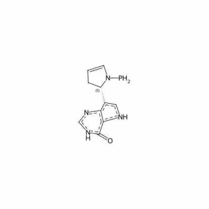 O=c1[nH]cnc2c([C@@H]3CC=CN3P)c[nH]c12